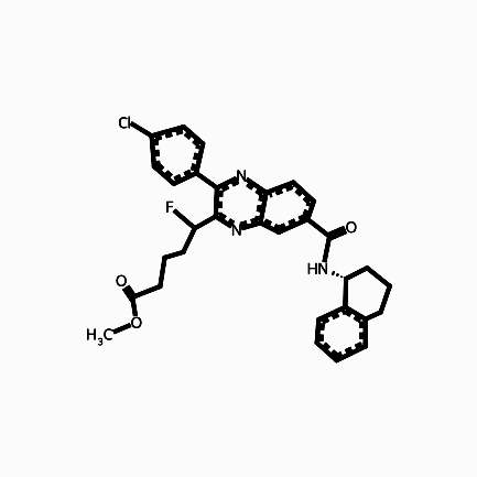 COC(=O)CCCC(F)c1nc2cc(C(=O)N[C@@H]3CCCc4ccccc43)ccc2nc1-c1ccc(Cl)cc1